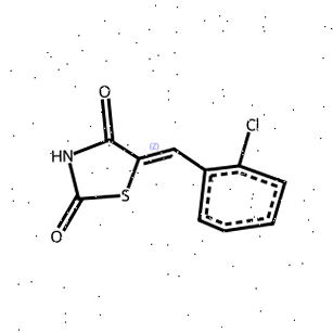 O=C1NC(=O)/C(=C/c2ccccc2Cl)S1